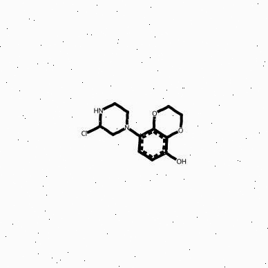 Oc1ccc(N2CCNC(Cl)C2)c2c1OCCO2